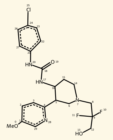 COc1ccc(C2CN(CC(F)(F)CO)CCC2NC(=O)Nc2ccc(Cl)cc2)nc1